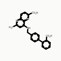 Cc1cc(NCc2ccc(-c3ccccc3C(=O)O)cc2)c2nc(C(=O)O)ccc2n1